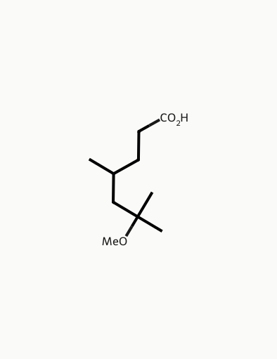 COC(C)(C)CC(C)CCC(=O)O